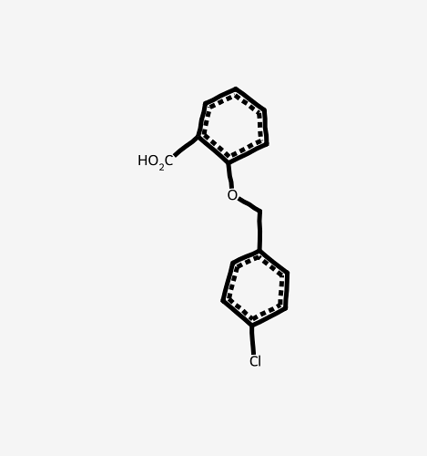 O=C(O)c1ccccc1OCc1ccc(Cl)cc1